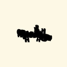 CC(C)[C@H](NC(=O)C1(C)CCCCC1)c1ncc(-c2ccc(-c3ccc(-c4cnc([C@@H](NC(=O)C5(C)CCCCC5)C(C)C)[nH]4)c(OC(F)F)c3)cc2)[nH]1